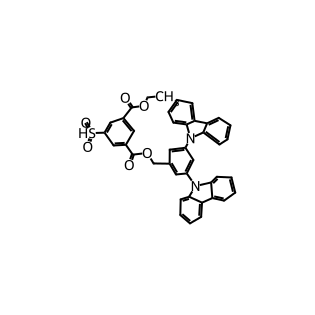 CCOC(=O)c1cc(C(=O)OCc2cc(-n3c4ccccc4c4ccccc43)cc(-n3c4ccccc4c4ccccc43)c2)cc([SH](=O)=O)c1